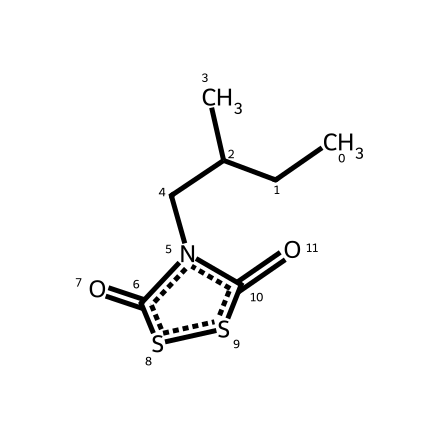 CCC(C)Cn1c(=O)ssc1=O